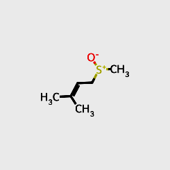 CC(C)=CC[S+](C)[O-]